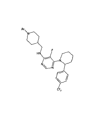 CC(=O)N1CCC(CNc2ncnc(N3CCCCC3c3ccc(C(F)(F)F)cc3)c2F)CC1